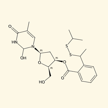 CC1=CN([C@H]2C[C@@H](OC(=O)c3ccccc3C(C)SSC(C)C)[C@@H](CO)O2)C(O)NC1=O